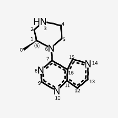 C[C@H]1CNCCN1c1ncnc2ccncc12